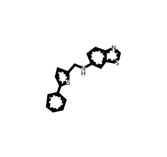 c1ccc(-c2ccc(CNc3ccc4ncsc4c3)s2)cc1